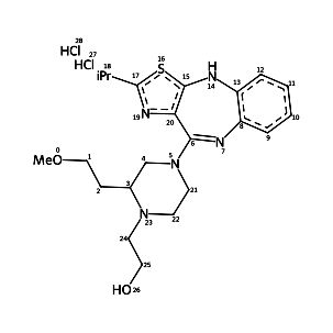 COCCC1CN(C2=Nc3ccccc3Nc3sc(C(C)C)nc32)CCN1CCO.Cl.Cl